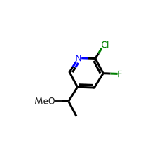 COC(C)c1cnc(Cl)c(F)c1